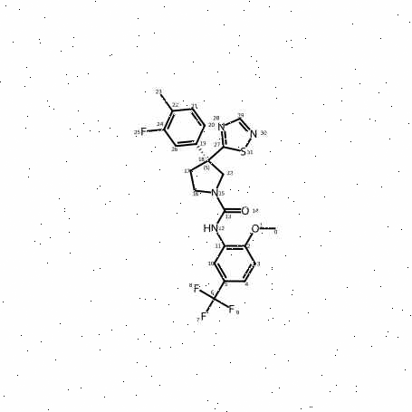 COc1ccc(C(F)(F)F)cc1NC(=O)N1CC[C@@](c2ccc(C)c(F)c2)(c2ncns2)C1